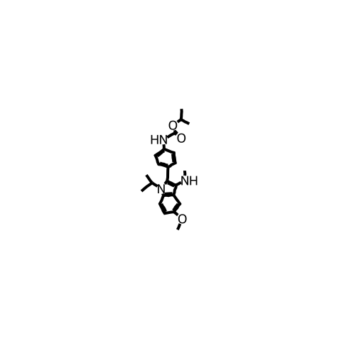 CNc1c(-c2ccc(NC(=O)OC(C)C)cc2)n(C(C)C)c2ccc(OC)cc12